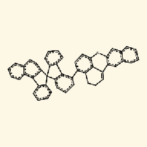 C1=C2c3cc4ccccc4cc3Oc3ccc(-c4cccc5c4-c4ccccc4C54c5ccccc5-c5c4ccc4ccccc54)c(c32)CC1